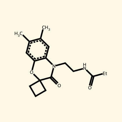 CCC(=O)NCCN1C(=O)C2(CCC2)Oc2cc(C)c(C)cc21